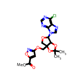 COC(=O)c1cc(OCC23COC(n4cnc5c(Cl)ncnc54)C2OC(C)(C)O3)no1